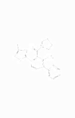 Cc1csc(-c2ccc(-c3ccccc3)c(C#N)c2C(=O)N2CCCC2)n1